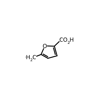 [CH2]c1ccc(C(=O)O)o1